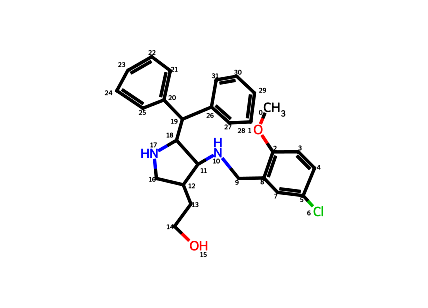 COc1ccc(Cl)cc1CNC1C(CCO)CNC1C(c1ccccc1)c1ccccc1